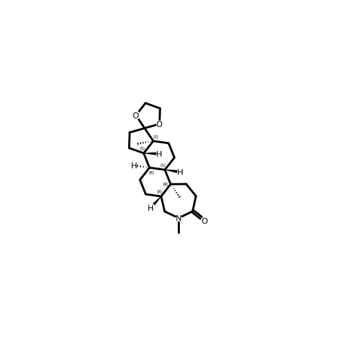 CN1C[C@@H]2CC[C@@H]3[C@H](CC[C@@]4(C)[C@H]3CCC43OCCO3)[C@@]2(C)CCC1=O